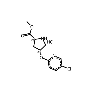 COC(=O)[C@@H]1C[C@@H](Oc2ccc(Cl)cn2)CN1.Cl